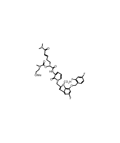 COCCN(C)C(=O)O[C@@H](CC/C=C/C(=O)N(C)C)C(=O)Nc1cccn(Cc2cc3cc(F)cc(OCc4ccc(F)cc4F)c3n2C(=O)O)c1=O